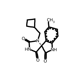 Cc1ccc2c(c1)[C@]1(C(=O)NC(=O)N1CC1CCC1)C(=O)N2